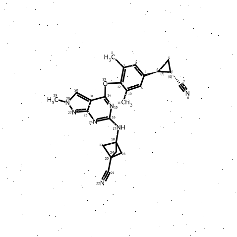 Cc1cc([C@H]2C[C@@H]2C#N)cc(C)c1Oc1nc(NC23CC(C#N)(C2)C3)nc2nn(C)cc12